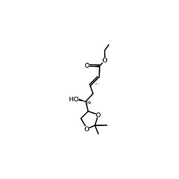 CCOC(=O)/C=C/C[C@H](O)C1COC(C)(C)O1